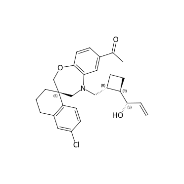 C=C[C@H](O)[C@@H]1CC[C@H]1CN1C[C@@]2(CCCc3cc(Cl)ccc32)COc2ccc(C(C)=O)cc21